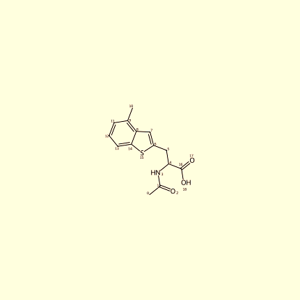 CC(=O)NC(Cc1cc2c(C)cccc2s1)C(=O)O